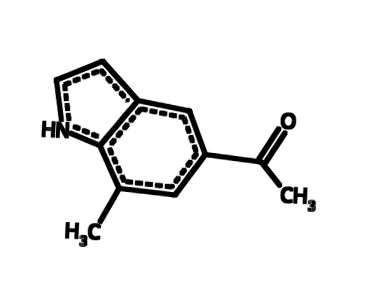 CC(=O)c1cc(C)c2[nH]ccc2c1